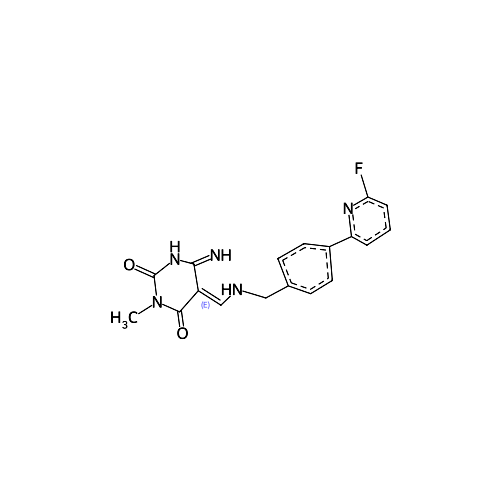 CN1C(=O)NC(=N)/C(=C\NCc2ccc(-c3cccc(F)n3)cc2)C1=O